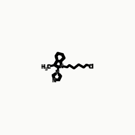 Cc1c(-n2ccnc2)n(CCCCCCCl)c2ccccc12